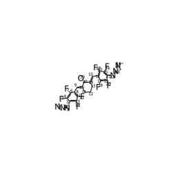 [N-]=[N+]=Nc1c(F)c(F)c(/C=C2\CCC/C(=C\c3c(F)c(F)c(N=[N+]=[N-])c(F)c3F)C2=O)c(F)c1F